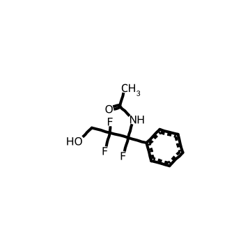 CC(=O)NC(F)(c1ccccc1)C(F)(F)CO